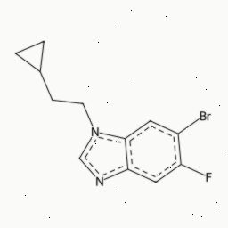 Fc1cc2ncn(CCC3CC3)c2cc1Br